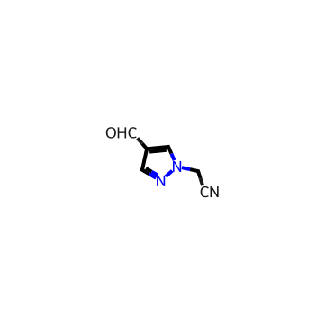 N#CCn1cc(C=O)cn1